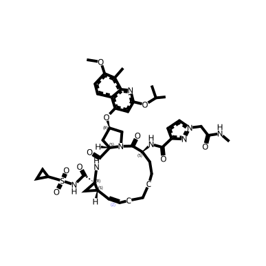 CNC(=O)Cn1ccc(C(=O)N[C@H]2CCCCC/C=C\[C@@H]3C[C@@]3(C(=O)NS(=O)(=O)C3CC3)NC(=O)[C@@H]3C[C@@H](Oc4cc(OC(C)C)nc5c(C)c(OC)ccc45)CN3C2=O)n1